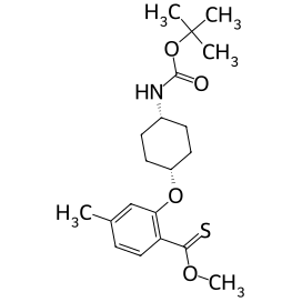 COC(=S)c1ccc(C)cc1O[C@H]1CC[C@@H](NC(=O)OC(C)(C)C)CC1